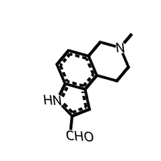 CN1CCc2c(ccc3[nH]c(C=O)cc23)C1